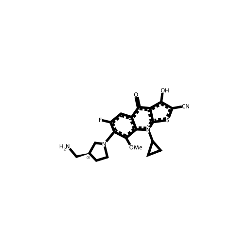 COc1c(N2CC[C@@H](CN)C2)c(F)cc2c(=O)c3c(O)c(C#N)sc3n(C3CC3)c12